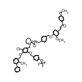 COc1ccc(C(=O)/C=C/c2ccc(OCc3ccc(CNC(=O)C4CCCCN4Cc4cc(Cl)c(OCc5cccc(-c6ccccc6)c5C)cc4OCc4ccc(OC(F)(F)F)cc4)cc3)c(OC)c2)cc1